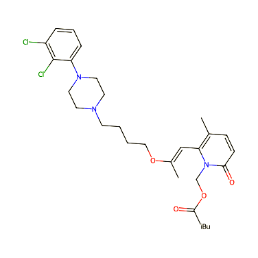 CCC(C)C(=O)OCn1c(/C=C(\C)OCCCCN2CCN(c3cccc(Cl)c3Cl)CC2)c(C)ccc1=O